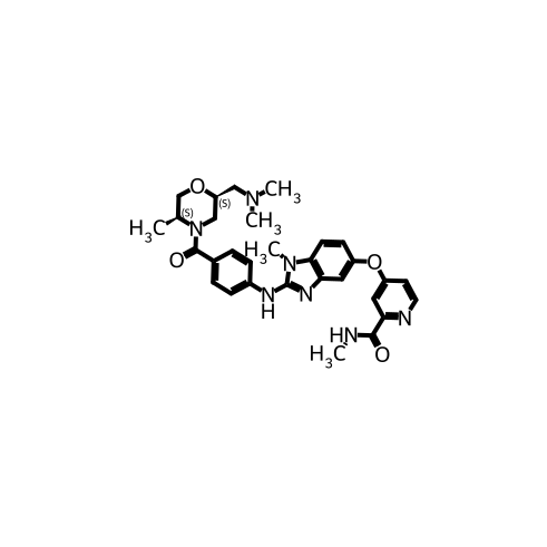 CNC(=O)c1cc(Oc2ccc3c(c2)nc(Nc2ccc(C(=O)N4C[C@H](CN(C)C)OC[C@@H]4C)cc2)n3C)ccn1